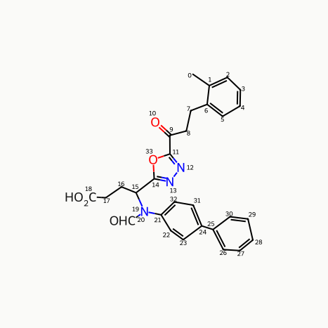 Cc1ccccc1CCC(=O)c1nnc(C(CCC(=O)O)N(C=O)c2ccc(-c3ccccc3)cc2)o1